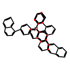 c1ccc(-c2ccccc2-c2c(-c3ccccc3)cccc2-c2ccccc2N(c2ccc(-c3ccc4ccccc4c3)cc2)c2ccc(-c3cccc4ccccc34)cc2)cc1